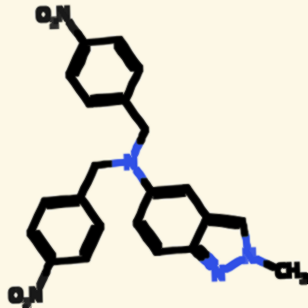 Cn1cc2cc(N(Cc3ccc([N+](=O)[O-])cc3)Cc3ccc([N+](=O)[O-])cc3)ccc2n1